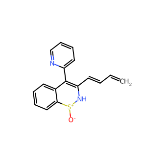 C=CC=CC1=C(c2ccccn2)c2ccccc2[S+]([O-])N1